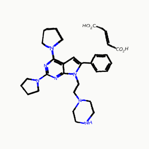 O=C(O)C=CC(=O)O.c1ccc(-c2cc3c(N4CCCC4)nc(N4CCCC4)nc3n2CCN2CCNCC2)cc1